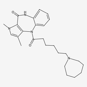 Cc1cn(C)c2c1N(C(=O)CCCCCN1CCCCCC1)c1ccccc1NC2=O